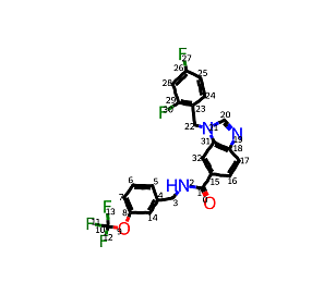 O=C(NCc1cccc(OC(F)(F)F)c1)c1ccc2ncn(Cc3ccc(F)cc3F)c2c1